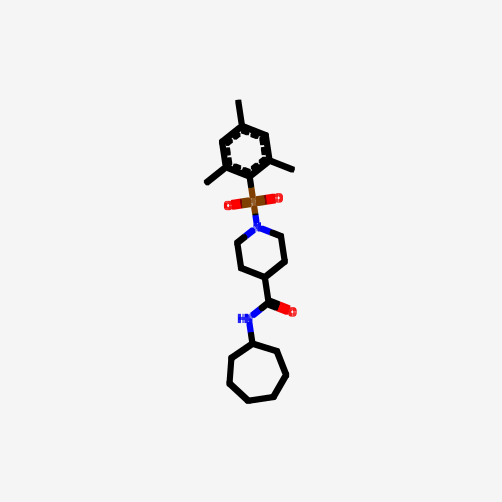 Cc1cc(C)c(S(=O)(=O)N2CCC(C(=O)NC3CCCCCC3)CC2)c(C)c1